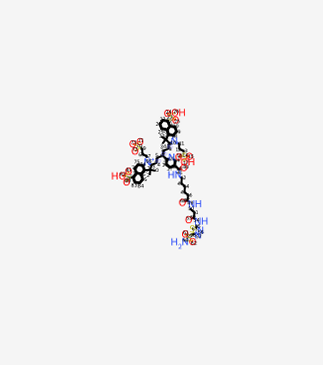 CC1(C)C(/C=C/C(=C/C=C2/N(CCCS(=O)(=O)O)c3ccc4c(S(=O)(=O)O)cccc4c3C2(C)C)c2ccc(C(=O)NCCCCCC(=O)NCCC(=O)Nc3nnc(S(N)(=O)=O)s3)cn2)=[N+](CCCS(=O)(=O)[O-])c2ccc3c(S(=O)(=O)O)cccc3c21